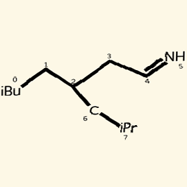 CCC(C)CC(CC=N)CC(C)C